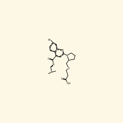 CN(C)C=NC(=O)c1cc(N2CCCC2COCCC(=O)O)nc2cc(Br)ccc12